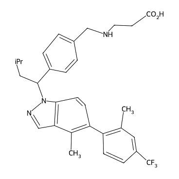 Cc1cc(C(F)(F)F)ccc1-c1ccc2c(cnn2C(CC(C)C)c2ccc(CNCCC(=O)O)cc2)c1C